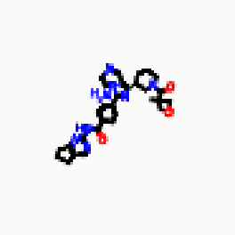 CC1(C(=O)N2CCC[C@@H](C3=C4C=NC=C[N+]4(N)C(c4ccc(C(=O)Nc5ncc6c(n5)CCC6)cc4)=N3)C2)COC1